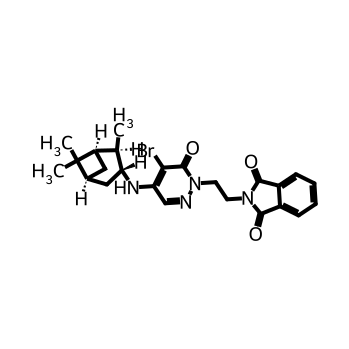 C[C@@H]1[C@H]2C[C@@H](C[C@H]1Nc1cnn(CCN3C(=O)c4ccccc4C3=O)c(=O)c1Br)C2(C)C